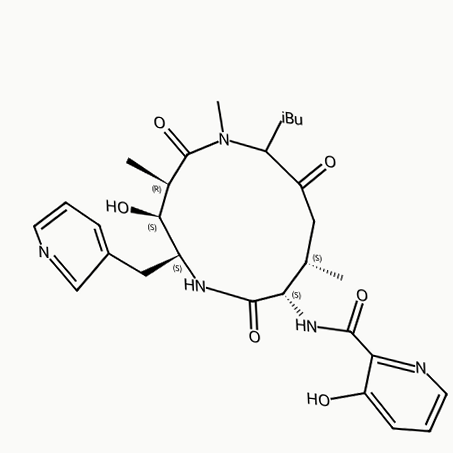 CCC(C)C1C(=O)C[C@H](C)[C@H](NC(=O)c2ncccc2O)C(=O)N[C@@H](Cc2cccnc2)[C@@H](O)[C@@H](C)C(=O)N1C